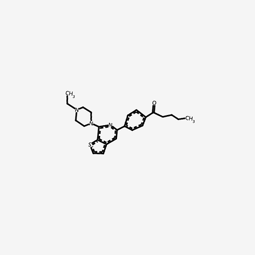 CCCCC(=O)c1ccc(-c2cc3ccsc3c(N3CCN(CC)CC3)n2)cc1